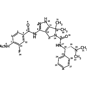 CC(=O)Nc1ccc(C(=O)Nc2n[nH]c3c2CN(C(=O)N[C@H](CN(C)C)c2ccccc2)C3(C)C)cc1F